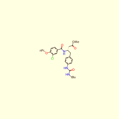 CCCOc1ccc(C(=O)N[C@H](CC(=O)OC)Cc2ccc(NC(=O)NC(C)(C)C)cc2)cc1Cl